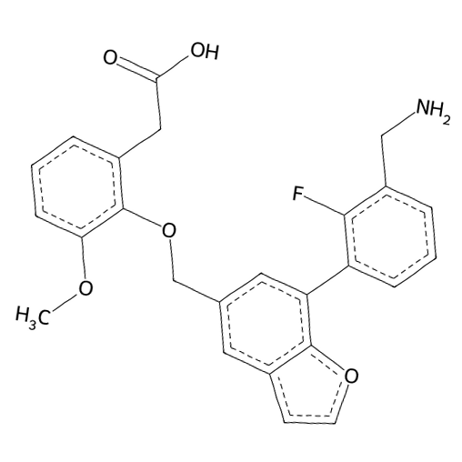 COc1cccc(CC(=O)O)c1OCc1cc(-c2cccc(CN)c2F)c2occc2c1